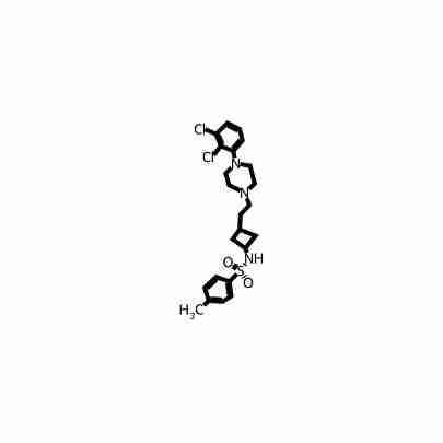 Cc1ccc(S(=O)(=O)NC2CC(CCN3CCN(c4cccc(Cl)c4Cl)CC3)C2)cc1